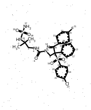 CC(C)(CNC(=O)N1CC(c2ccccc2)(S(=O)(=O)c2ccc(Cl)cc2)C(c2ccc(F)cc2)=N1)NS(N)(=O)=O